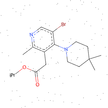 Cc1ncc(Br)c(N2CCC(C)(C)CC2)c1CC(=O)OC(C)C